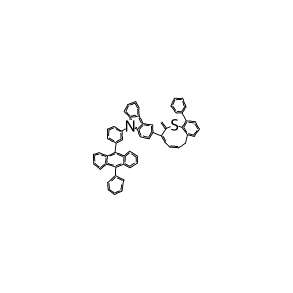 C=C1Sc2c(cccc2-c2ccccc2)C/C=C\C=C/1c1ccc2c(c1)c1ccccc1n2-c1cccc(-c2c3ccccc3c(-c3ccccc3)c3ccccc23)c1